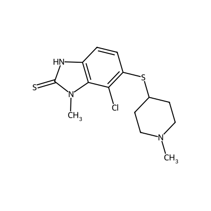 CN1CCC(Sc2ccc3[nH]c(=S)n(C)c3c2Cl)CC1